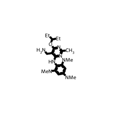 CCC(CC)Oc1nc(C)nc(Nc2c(NC)cc(NC)cc2NC)c1CN